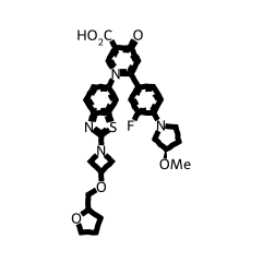 CO[C@@H]1CCN(c2ccc(-c3cc(=O)c(C(=O)O)cn3-c3ccc4nc(N5CC(OCC6CCCO6)C5)sc4c3)cc2F)C1